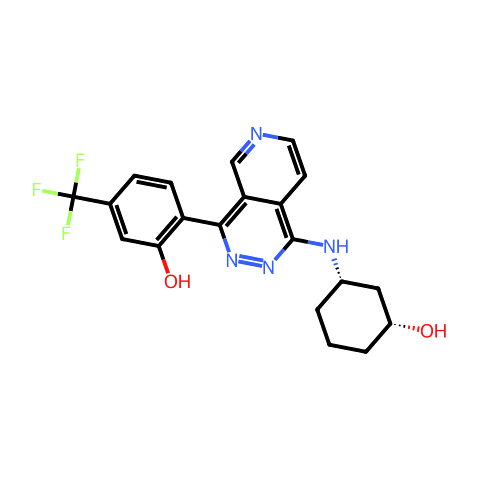 Oc1cc(C(F)(F)F)ccc1-c1nnc(N[C@H]2CCC[C@@H](O)C2)c2ccncc12